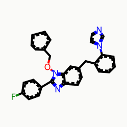 Fc1ccc(-c2nc3ccc(Cc4ccccc4-n4ccnc4)cc3n2OCc2ccccc2)cc1